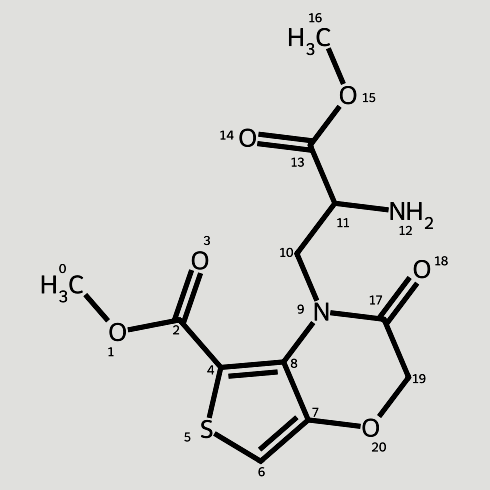 COC(=O)c1scc2c1N(CC(N)C(=O)OC)C(=O)CO2